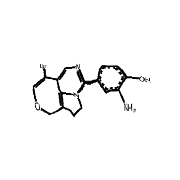 Nc1cc(C2=NC=C3C(Br)=COCC4=C3N2CC4)ccc1O